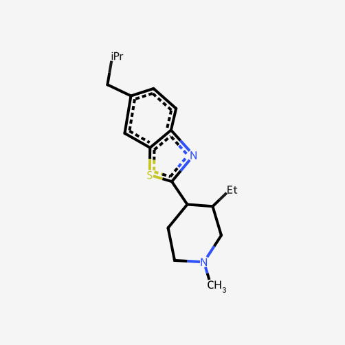 CCC1CN(C)CCC1c1nc2ccc(CC(C)C)cc2s1